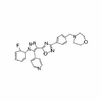 FC1C=CC=CC1n1nnc(-c2nc(-c3ccc(CN4CCOCC4)cc3)no2)c1-c1ccncc1